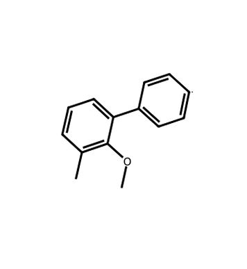 COc1c(C)cccc1-c1cc[c]cc1